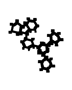 C1=CC2=C(C3C=CC=C(c4nc(-c5ccccc5)nc(-c5ccccc5)n4)C3)C3=C(C=CCC3)C2C=C1